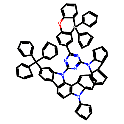 c1ccc(-n2c3ccccc3c3c2ccc2c4ccc(C(c5ccccc5)(c5ccccc5)c5ccccc5)cc4n(-c4nc(-c5ccc6c(c5)[Si](c5ccccc5)(c5ccccc5)c5ccccc5O6)nc(-n5c6ccccc6c6ccccc65)n4)c23)cc1